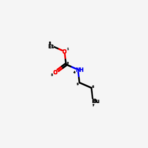 CCOC(=O)NCCC(C)CC